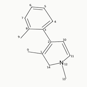 CC1=C(c2ccccc2C)C=CN(C)C1